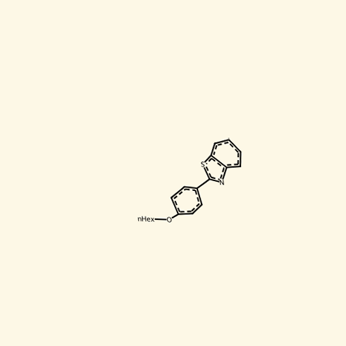 CCCCCCOc1ccc(-c2nc3cc[c]cc3s2)cc1